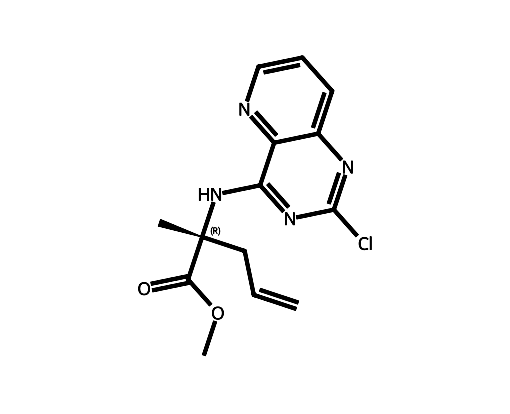 C=CC[C@@](C)(Nc1nc(Cl)nc2cccnc12)C(=O)OC